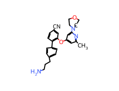 Cc1cc(Oc2cc(C#N)ccc2-c2ccc(CCCN)cc2)cc(N2CCOCC2)n1